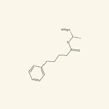 CCCCCCCC(C)OC(=O)CCCCc1ccccc1